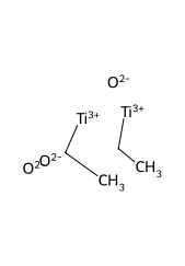 C[CH2][Ti+3].C[CH2][Ti+3].[O-2].[O-2].[O-2]